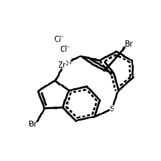 BrC1=C[CH]2[Zr+2][CH]3C=C(Br)c4c(cccc43)Sc3ccc2c1c3.[Cl-].[Cl-]